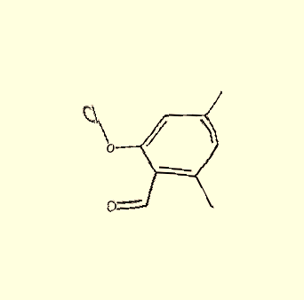 Cc1cc(C)c(C=O)c(OCl)c1